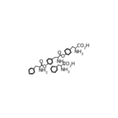 N[C@@H](Cc1ccc(OC(=O)[C@@H](N)Cc2ccc(OC(=O)[C@@H](N)Cc3ccccc3)cc2)cc1)C(=O)O.N[C@@H](Cc1ccccc1)C(=O)O